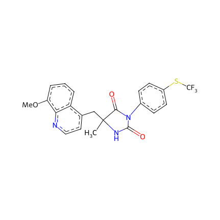 COc1cccc2c(CC3(C)NC(=O)N(c4ccc(SC(F)(F)F)cc4)C3=O)ccnc12